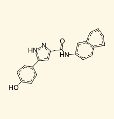 O=C(Nc1ccc2ccccc2c1)c1cc(-c2ccc(O)cc2)[nH]n1